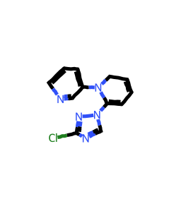 Clc1ncn(C2=CC=CCN2c2cccnc2)n1